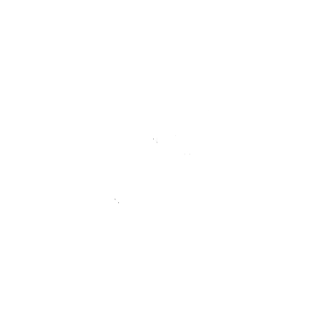 CC(C)(C)OC(=O)NC1CCNc2ccccc2C1